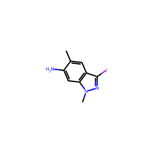 Cc1cc2c(I)nn(C)c2cc1N